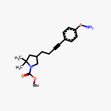 CC(C)(C)OC(=O)N1CC(CCC#Cc2ccc(SN)cc2)CC1(C)C